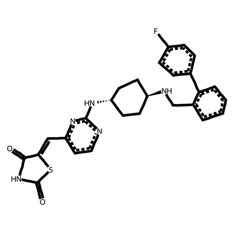 O=C1NC(=O)/C(=C/c2ccnc(N[C@H]3CC[C@H](NCc4ccccc4-c4ccc(F)cc4)CC3)n2)S1